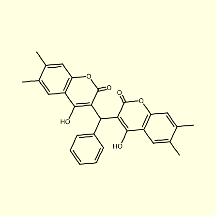 Cc1cc2oc(=O)c(C(c3ccccc3)c3c(O)c4cc(C)c(C)cc4oc3=O)c(O)c2cc1C